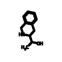 CC(O)C1Cc2ccccc2CN1